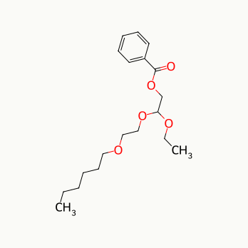 CCCCCCOCCOC(COC(=O)c1ccccc1)OCC